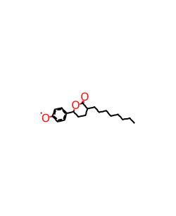 CCCCCCCCC1CCC(c2ccc(OC)cc2)OC1=O